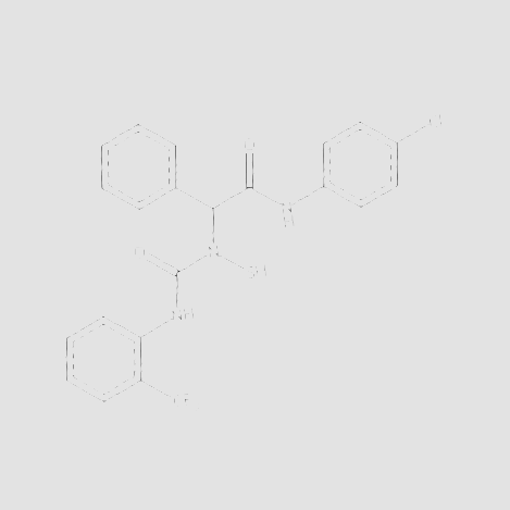 O=C(Nc1ccc(Cl)cc1)C(c1ccccc1)N(S)C(=O)Nc1ccccc1C(F)(F)F